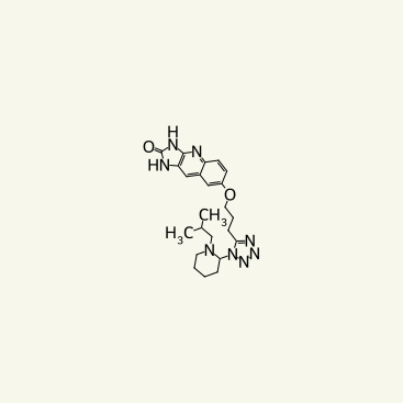 CC(C)CN1CCCCC1n1nnnc1CCCOc1ccc2nc3[nH]c(=O)[nH]c3cc2c1